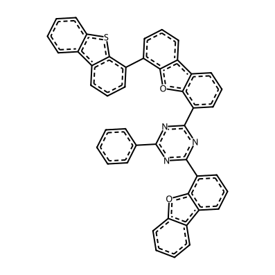 c1ccc(-c2nc(-c3cccc4c3oc3ccccc34)nc(-c3cccc4c3oc3c(-c5cccc6c5sc5ccccc56)cccc34)n2)cc1